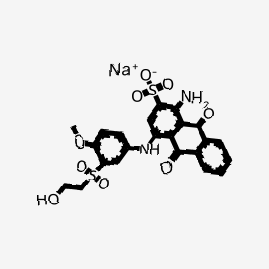 COc1ccc(Nc2cc(S(=O)(=O)[O-])c(N)c3c2C(=O)c2ccccc2C3=O)cc1S(=O)(=O)CCO.[Na+]